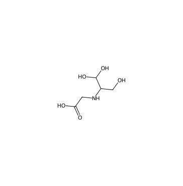 O=C(O)CNC(CO)C(O)O